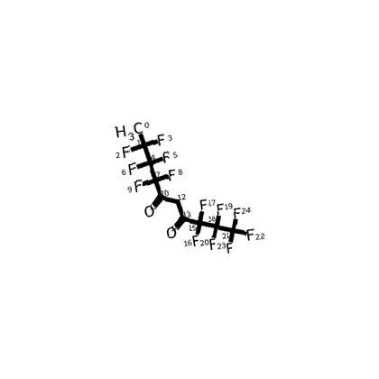 CC(F)(F)C(F)(F)C(F)(F)C(=O)CC(=O)C(F)(F)C(F)(F)C(F)(F)F